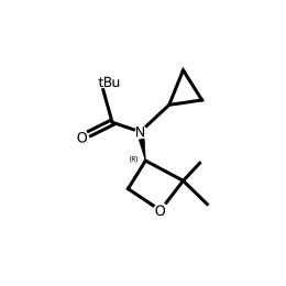 CC(C)(C)C(=O)N(C1CC1)[C@@H]1COC1(C)C